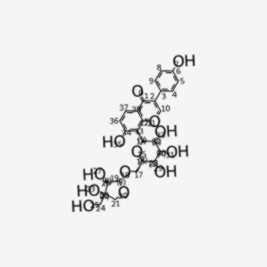 O=c1c(-c2ccc(O)cc2)coc2c([C@@H]3O[C@H](CO[C@@H]4OC[C@](O)(CO)[C@H]4O)[C@@H](O)[C@H](O)[C@H]3O)c(O)ccc12